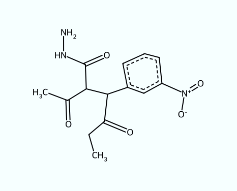 CCC(=O)C(c1cccc([N+](=O)[O-])c1)C(C(C)=O)C(=O)NN